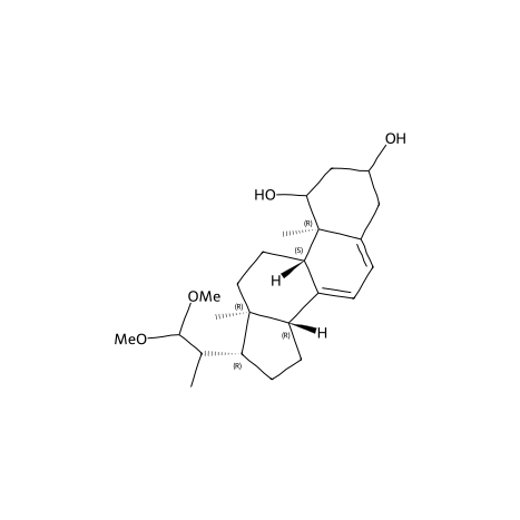 COC(OC)C(C)[C@H]1CC[C@H]2C3=CC=C4CC(O)CC(O)[C@]4(C)[C@H]3CC[C@]12C